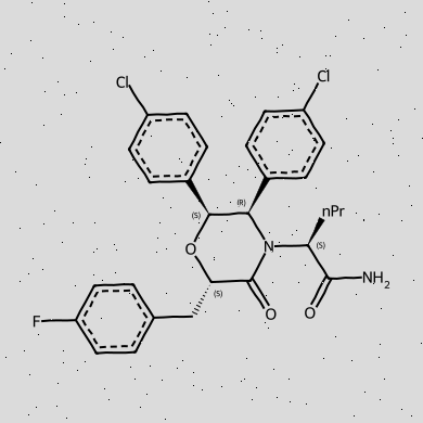 CCC[C@@H](C(N)=O)N1C(=O)[C@H](Cc2ccc(F)cc2)O[C@@H](c2ccc(Cl)cc2)[C@H]1c1ccc(Cl)cc1